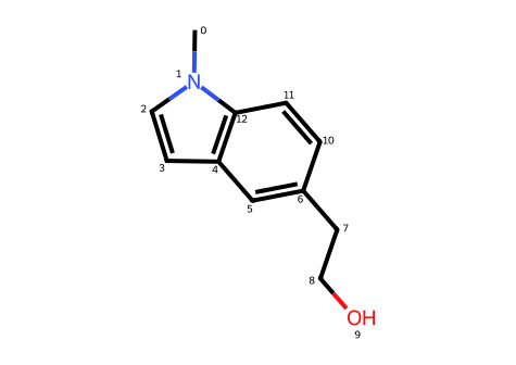 Cn1ccc2cc(CCO)ccc21